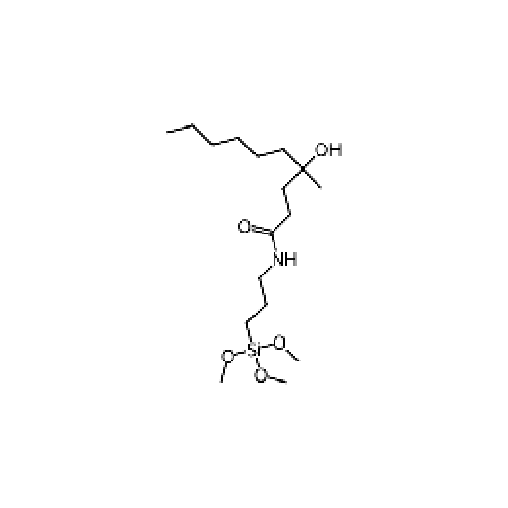 CCCCCCC(C)(O)CCC(=O)NCCC[Si](OC)(OC)OC